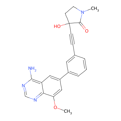 COc1cc(-c2cccc(C#CC3(O)CCN(C)C3=O)c2)cc2c(N)ncnc12